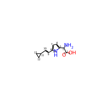 NC(C(=O)O)c1ccc(/C=C/C2CC2)[nH]1